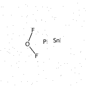 FOF.[P].[Sn]